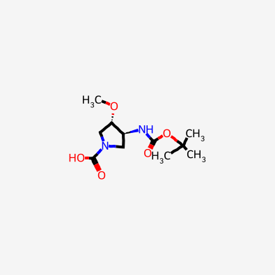 CO[C@H]1CN(C(=O)O)C[C@@H]1NC(=O)OC(C)(C)C